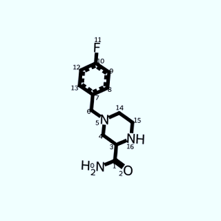 NC(=O)C1CN(Cc2ccc(F)cc2)CCN1